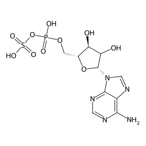 Nc1ncnc2c1ncn2[C@@H]1O[C@H](COP(=O)(O)OS(=O)(=O)O)[C@@H](O)C1O